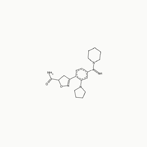 N=C(c1ccc(C2=NOC(C(N)=O)C2)c(N2CCCC2)c1)N1CCCCC1